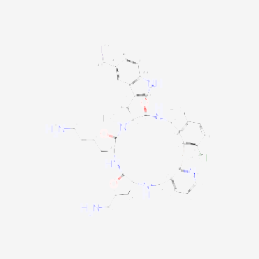 CN1C(=O)[C@H](CCCCN)NC(=O)[C@H](CCCN)NCc2cccnc2Sc2c(Cl)ccc(C(F)(F)F)c2CNC(=O)[C@@H]1Cc1c[nH]c2ccc(CI)cc12